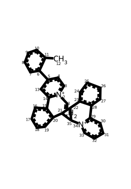 C=C[n+]1ccc(-c2ccccc2C)cc1-c1ccccc1C1C2c3ccccc3-c3cccc[n+]3C12